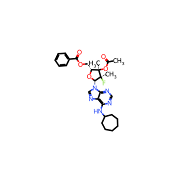 CC(=O)O[C@]1(C)[C@@H](COC(=O)c2ccccc2)O[C@@H](n2cnc3c(NC4CCCCCC4)ncnc32)[C@]1(C)F